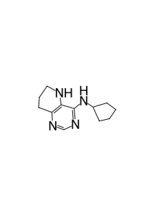 c1nc2c(c(NC3CCCC3)n1)NCCC2